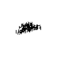 CN(C(=O)CNC(=O)c1c(I)c(NC(=O)CO)c(I)c(C(=O)NCC(O)CO)c1I)c1c(I)c(C(=O)NC(CO)C(O)CO)c(I)c(C(=O)NC(CO)C(O)CO)c1I